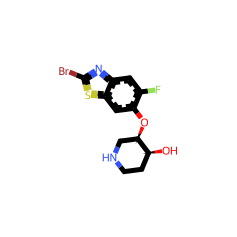 O[C@H]1CCNC[C@H]1Oc1cc2sc(Br)nc2cc1F